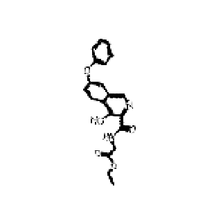 CCOC(=O)CNC(=O)c1ncc2cc(Oc3ccccc3)ccc2c1O